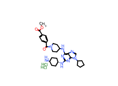 COC(=O)c1ccc(C(=O)N2CCC(Nc3nc(N[C@H]4CC[C@H](N)CC4)nc4c3ncn4C3CCCC3)CC2)cc1.Cl.Cl